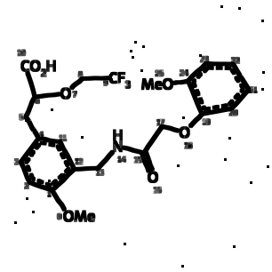 COc1ccc(CC(OCC(F)(F)F)C(=O)O)cc1CNC(=O)COc1ccccc1OC